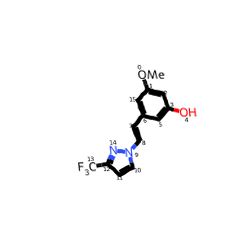 COc1cc(O)cc(/C=C/n2ccc(C(F)(F)F)n2)c1